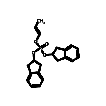 CC=COP(=O)(OC1Cc2ccccc2C1)OC1Cc2ccccc2C1